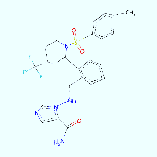 Cc1ccc(S(=O)(=O)N2CCC(C(F)(F)F)CC2c2ccccc2CNn2cncc2C(N)=O)cc1